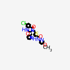 COc1ccc(NC(=O)c2ccc(CN3C(=O)c4ccc(Cl)cc4NC(=O)[C@H]3Cc3ccccn3)s2)nc1